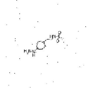 CS(=O)(=O)NCCc1ccc(NN)cc1